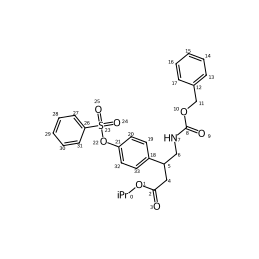 CC(C)OC(=O)CC(CNC(=O)OCc1ccccc1)c1ccc(OS(=O)(=O)c2ccccc2)cc1